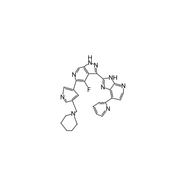 Fc1c(-c2cncc(CN3CCCCC3)c2)ncc2[nH]nc(-c3nc4c(-c5ccccn5)ccnc4[nH]3)c12